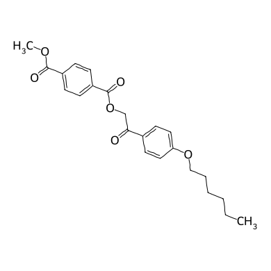 CCCCCCOc1ccc(C(=O)COC(=O)c2ccc(C(=O)OC)cc2)cc1